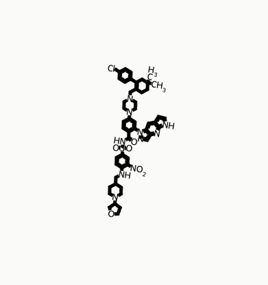 CC1(C)CCC(CN2CCN(c3ccc(C(=O)NS(=O)(=O)c4ccc(NCC5CCN(C6CCOC6)CC5)c([N+](=O)[O-])c4)c(-n4ncc5nc6[nH]ccc6cc54)c3)CC2)=C(c2ccc(Cl)cc2)C1